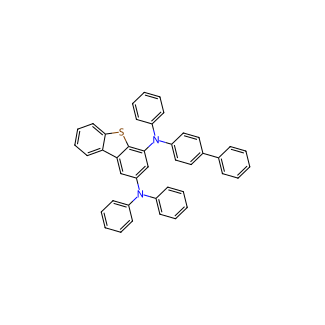 c1ccc(-c2ccc(N(c3ccccc3)c3cc(N(c4ccccc4)c4ccccc4)cc4c3sc3ccccc34)cc2)cc1